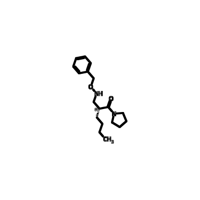 CCCC[C@H](CNOCc1ccccc1)C(=O)N1CCCC1